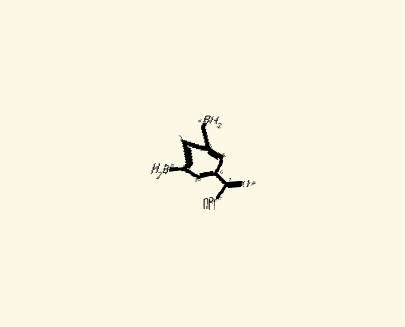 Bc1cc(B)cc(C(=O)CCC)c1